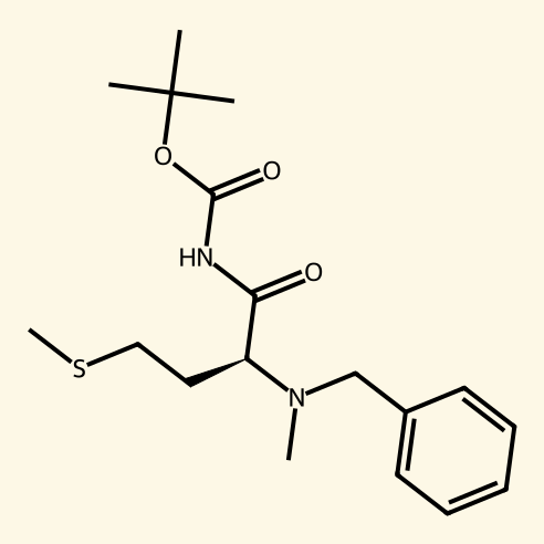 CSCC[C@@H](C(=O)NC(=O)OC(C)(C)C)N(C)Cc1ccccc1